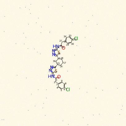 O=C(Cc1ccc(Cl)cc1)Nc1nnc([C@@H]2CCC[C@@H](c3nnc(NC(=O)Cc4ccc(Cl)cc4)s3)C2)s1